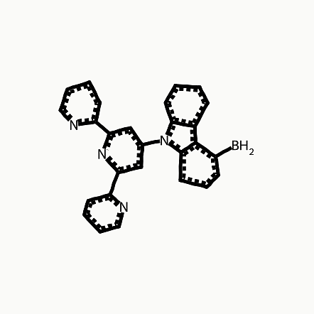 Bc1cccc2c1c1ccccc1n2-c1cc(-c2ccccn2)nc(-c2ccccn2)c1